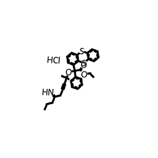 CCCC(=N)CC#CC(C)(C)OC(C(=O)OCC)(c1ccccc1)c1cccc2c1Sc1ccccc1S2.Cl